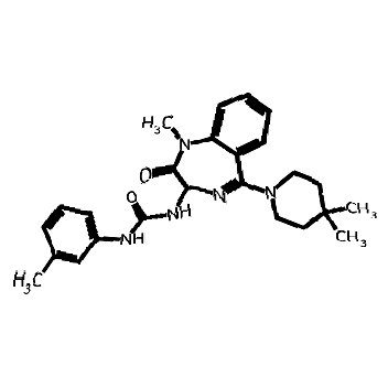 Cc1cccc(NC(=O)NC2N=C(N3CCC(C)(C)CC3)c3ccccc3N(C)C2=O)c1